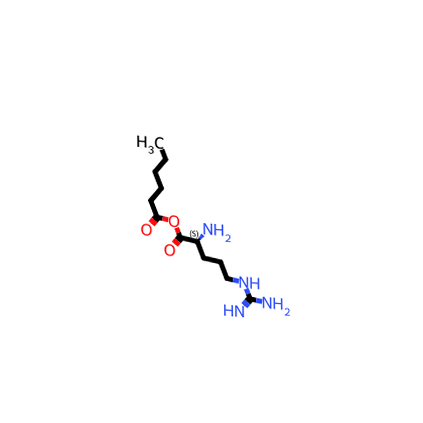 CCCCCC(=O)OC(=O)[C@@H](N)CCCNC(=N)N